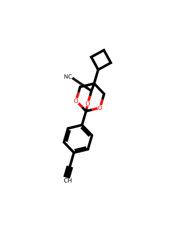 C#Cc1ccc(C23OCC(C4CCC4)(CO2)C(C#N)O3)cc1